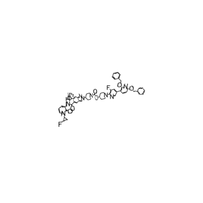 CC(C)Oc1cc2nn(C3CCN(C(=O)OC4CCN(c5ncc(-c6ccc(OCc7ccccc7)nc6OCc6ccccc6)cc5F)CC4)CC3)cc2cc1C(=O)Nc1cccn([C@H]2C[C@H]2F)c1=O